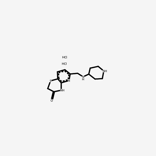 Cl.Cl.O=C1CSc2ccc(CNC3CCNCC3)nc2N1